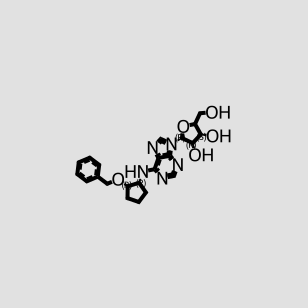 OCC1O[C@@H](n2cnc3c(N[C@@H]4CCC[C@H]4OCc4ccccc4)ncnc32)[C@H](O)[C@@H]1O